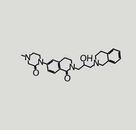 CN1CCN(c2ccc3c(c2)CCN(CC(O)CN2CCc4ccccc4C2)C3=O)C(=O)C1